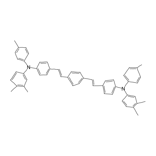 Cc1ccc(N(c2ccc(C=Cc3ccc(C=Cc4ccc(N(c5ccc(C)cc5)c5ccc(C)c(C)c5)cc4)cc3)cc2)c2ccc(C)c(C)c2)cc1